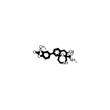 Cn1c(=O)oc2ccc(-c3ccc(C[C@@H](C#N)C4(C(N)=O)CNCCCO4)cc3)cc21